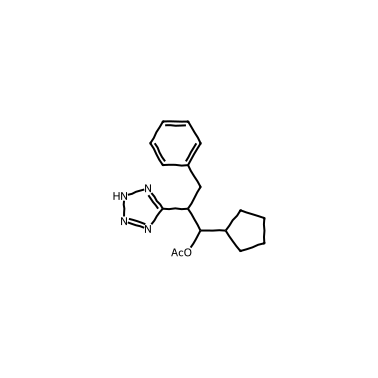 CC(=O)OC(C1CCCC1)C(Cc1ccccc1)c1nn[nH]n1